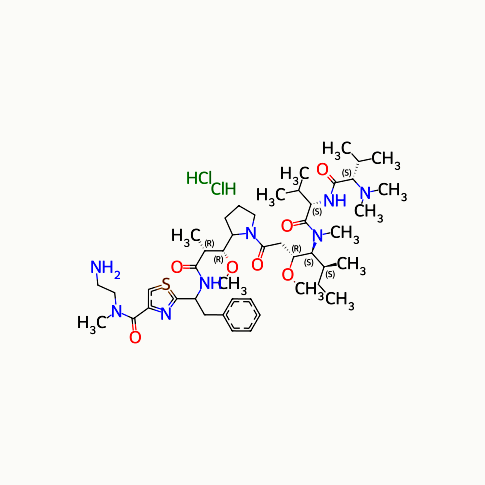 CC[C@H](C)[C@@H]([C@@H](CC(=O)N1CCCC1[C@H](OC)[C@@H](C)C(=O)NC(Cc1ccccc1)c1nc(C(=O)N(C)CCN)cs1)OC)N(C)C(=O)[C@@H](NC(=O)[C@H](C(C)C)N(C)C)C(C)C.Cl.Cl